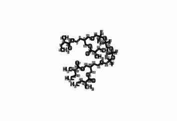 CCC(C)C(=O)OCCC(COCC(F)(F)OC(F)(F)COC(F)(F)OC(F)(F)COCCC(COC(=O)C(C)CC)COC(=O)C(C)CC)COC(=O)C(C)CC